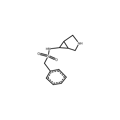 O=S(=O)(Cc1ccccc1)NC1C2CNCC21